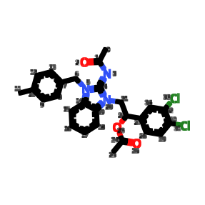 CC(=O)/N=c1\n(Cc2ccc(C)cc2)c2ccccc2n1CC(OC(C)=O)c1ccc(Cl)c(Cl)c1